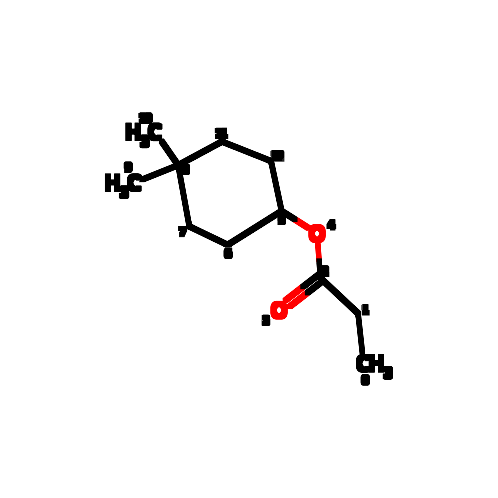 CCC(=O)OC1CCC(C)(C)CC1